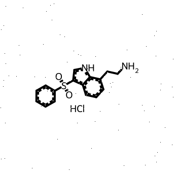 Cl.NCCc1cccc2c(S(=O)(=O)c3ccccc3)c[nH]c12